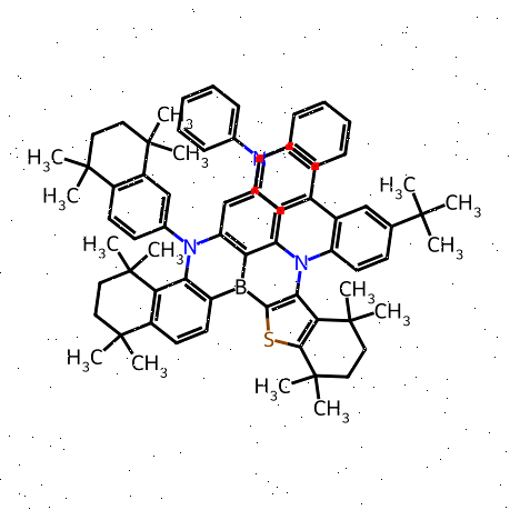 CC(C)(C)c1ccc(N2c3cc(N(c4ccccc4)c4ccccc4)cc4c3B(c3ccc5c(c3N4c3ccc4c(c3)C(C)(C)CCC4(C)C)C(C)(C)CCC5(C)C)c3sc4c(c32)C(C)(C)CCC4(C)C)c(-c2ccccc2)c1